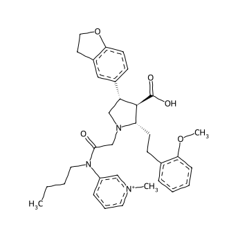 CCCCN(C(=O)CN1C[C@H](c2ccc3c(c2)CCO3)[C@@H](C(=O)O)[C@@H]1CCc1ccccc1OC)c1ccc[n+](C)c1